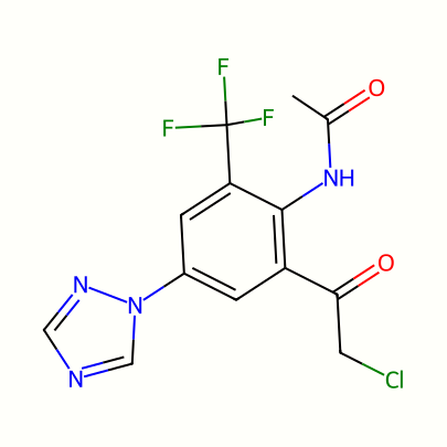 CC(=O)Nc1c(C(=O)CCl)cc(-n2cncn2)cc1C(F)(F)F